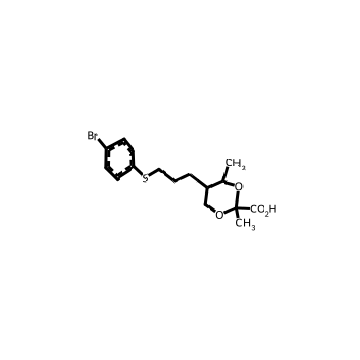 CC1OC(C)(C(=O)O)OCC1CCCSc1ccc(Br)cc1